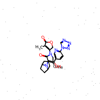 COC1CN(C2=C(C)C(=O)OC2)C(=O)C12CC1CCC(C2)N1C[C@H](O)c1ccc(-n2cnnn2)nc1